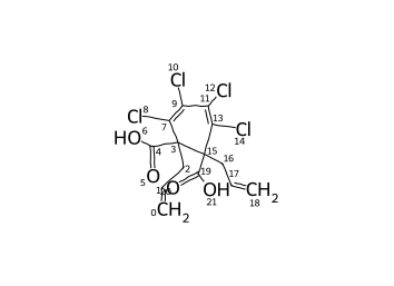 C=CCC1(C(=O)O)C(Cl)=C(Cl)C(Cl)=C(Cl)C1(CC=C)C(=O)O